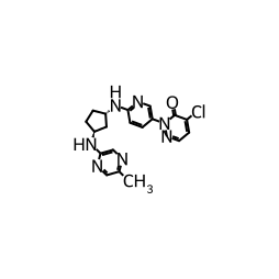 Cc1cnc(N[C@H]2CC[C@H](Nc3ccc(-n4nccc(Cl)c4=O)cn3)C2)cn1